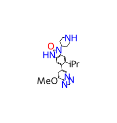 COc1cc(-c2cc3[nH]c(=O)n(C4CCNCC4)c3cc2C(C)C)cn2ncnc12